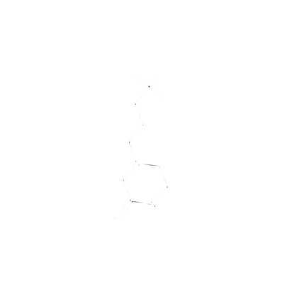 CC(C)(C)CCCN1CCNC(=O)C1